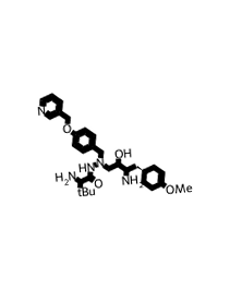 COC1=CC[C@@H](CC(N)C(O)CN(Cc2ccc(OCc3cccnc3)cc2)NC(=O)C(N)C(C)(C)C)CC1